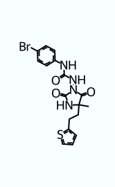 CC1(CCc2cccs2)NC(=O)N(NC(=O)Nc2ccc(Br)cc2)C1=O